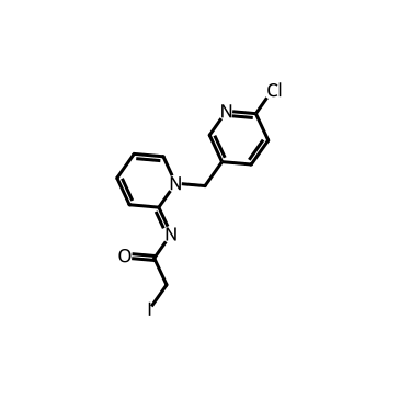 O=C(CI)/N=c1\ccccn1Cc1ccc(Cl)nc1